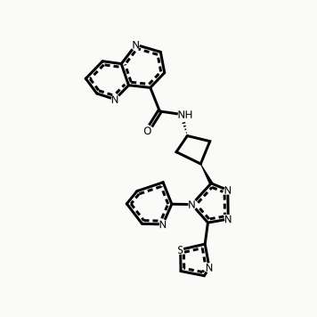 O=C(N[C@H]1C[C@H](c2nnc(-c3nccs3)n2-c2ccccn2)C1)c1ccnc2cccnc12